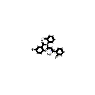 O=c1c2cc(F)ccc2nc(/C=C(\O)c2ccccc2F)n1-c1ccccc1Cl